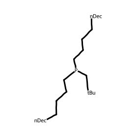 CCCCCCCCCCCCCCP(CCCCCCCCCCCCCC)CC(C)(C)C